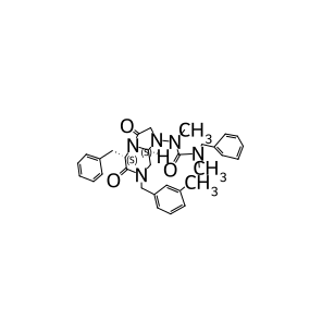 Cc1cccc(CN2C[C@H]3N(C(=O)CN3N(C)C(=O)N(C)Cc3ccccc3)[C@@H](Cc3ccccc3)C2=O)c1